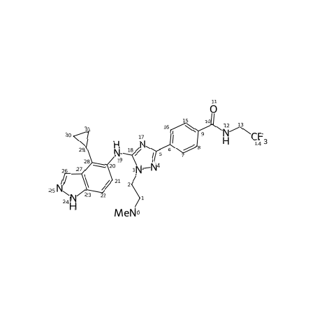 CNCCn1nc(-c2ccc(C(=O)NCC(F)(F)F)cc2)nc1Nc1ccc2[nH]ncc2c1C1CC1